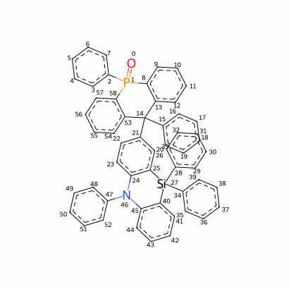 O=P1(c2ccccc2)c2ccccc2C(c2ccccc2)(c2ccc3c(c2)[Si](c2ccccc2)(c2ccccc2)c2ccccc2N3c2ccccc2)c2ccccc21